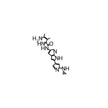 C/C(N)=C(\C)C(=N)C(=O)Nc1cnc2[nH]c(-c3ccnc(NC4CC4)c3)cc2c1